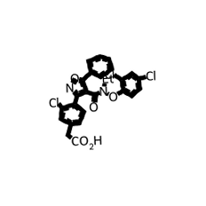 CCN(Oc1ccc(Cl)cc1Cl)C(=O)c1c(-c2ccc(CC(=O)O)cc2Cl)noc1-c1ccccc1